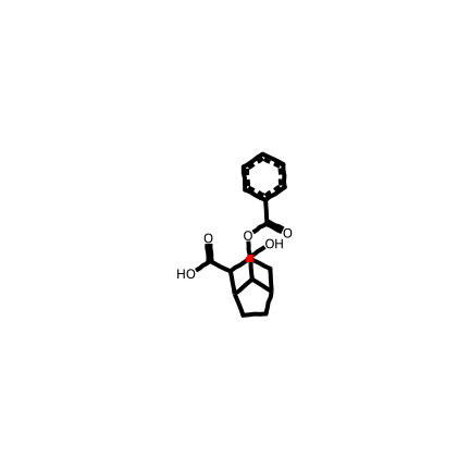 O=C(OC1CC2CCC(C2CO)C1C(=O)O)c1ccccc1